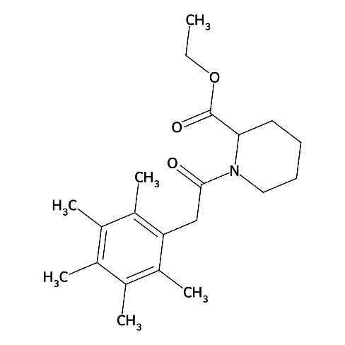 CCOC(=O)C1CCCCN1C(=O)Cc1c(C)c(C)c(C)c(C)c1C